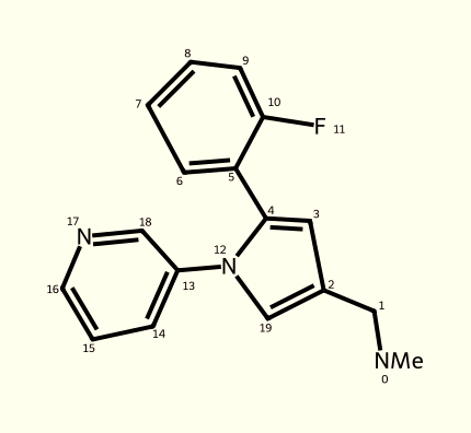 CNCc1cc(-c2ccccc2F)n(-c2cccnc2)c1